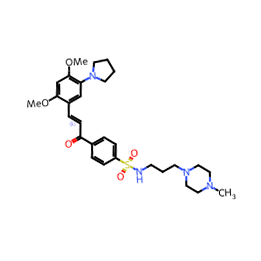 COc1cc(OC)c(N2CCCC2)cc1/C=C/C(=O)c1ccc(S(=O)(=O)NCCCN2CCN(C)CC2)cc1